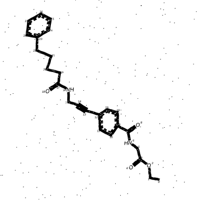 CCOC(=O)CNC(=O)c1ccc(C#CCNC(=O)CCCCc2ccccc2)cc1